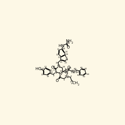 C=CCN1CC(=O)N2[C@@H](Cc3ccc(O)cc3)C(=O)N(Cc3csc4cc(NC(N)=O)ccc34)C[C@@H]2N1C(=O)NCc1ccccc1